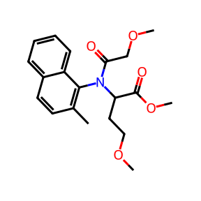 COCCC(C(=O)OC)N(C(=O)COC)c1c(C)ccc2ccccc12